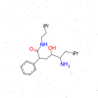 CC(C)CCNC(=O)C(CC(O)C(N)CC(C)C)c1ccccc1